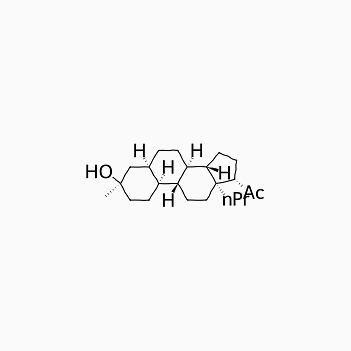 CCC[C@]12CC[C@H]3[C@@H](CC[C@@H]4C[C@](C)(O)CC[C@@H]43)[C@@H]1CC[C@@H]2C(C)=O